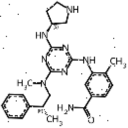 Cc1ccc(C(N)=O)cc1Nc1nc(N[C@H]2CCNC2)nc(N(C)C[C@H](C)c2ccccc2)n1